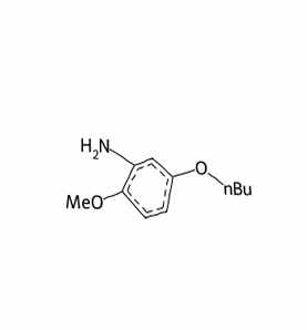 CCCCOc1ccc(OC)c(N)c1